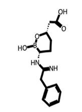 N=C(Cc1ccccc1)N[C@H]1CC[C@@H](CC(=O)O)OB1O